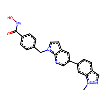 Cn1ncc2ccc(-c3cnc4c(ccn4Cc4ccc(C(=O)NO)cc4)c3)cc21